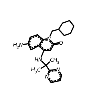 CC(C)(Nc1cc(=O)n(CC2CCCCC2)c2ccc(N)cc12)c1ncccn1